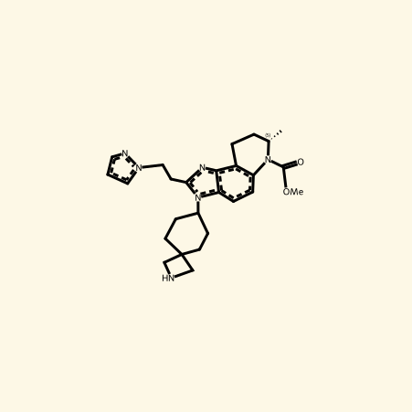 COC(=O)N1c2ccc3c(nc(CCn4cccn4)n3C3CCC4(CC3)CNC4)c2CC[C@@H]1C